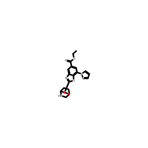 CCOC(=O)c1cc(-n2cccn2)c2oc(N3CC4CCC(C3)NC4)nc2c1